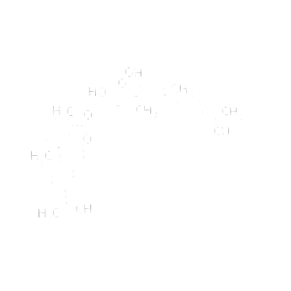 CC(C)C1=CCC2C(=C1)CCC1C(C)(C(=O)OCC(O)CC(OO)C3(C)CCCC4(C)C5CC=C(C(C)C)C=C5CCC34)CCCC21C